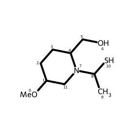 COC1CCC(CO)N(C(C)S)C1